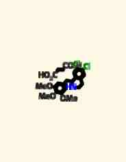 COc1cc(CC2NCCc3cc(Cl)c(Cl)cc32)cc(OC)c1OC.O=C(O)C=CC(=O)O